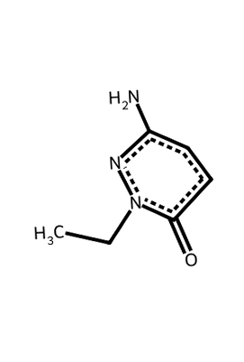 CCn1nc(N)ccc1=O